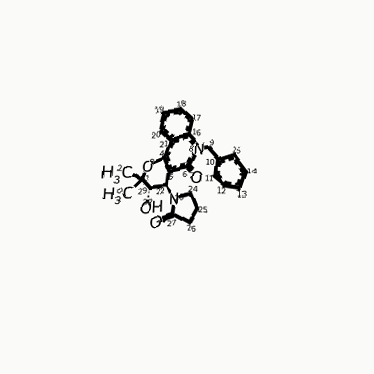 CC1(C)Oc2c(c(=O)n(Cc3ccccc3)c3ccccc23)[C@@H](N2CCCC2=O)[C@@H]1O